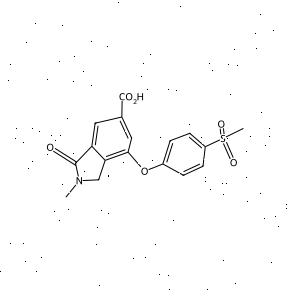 CN1Cc2c(Oc3ccc(S(C)(=O)=O)cc3)cc(C(=O)O)cc2C1=O